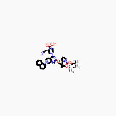 CC(C)(C)OC(=O)N1CCC[C@H]1C1(COc2nc3c(c(N4CCN(C(=O)O)[C@@H](CC#N)C4)n2)CCN(c2cccc4ccccc24)C3)CC1